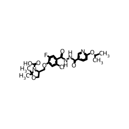 CC(C)Oc1ccc(C(=O)NNC(=O)c2cc(F)c(OCC3COC(C)(C)N3C(=O)O)cc2Cl)cn1